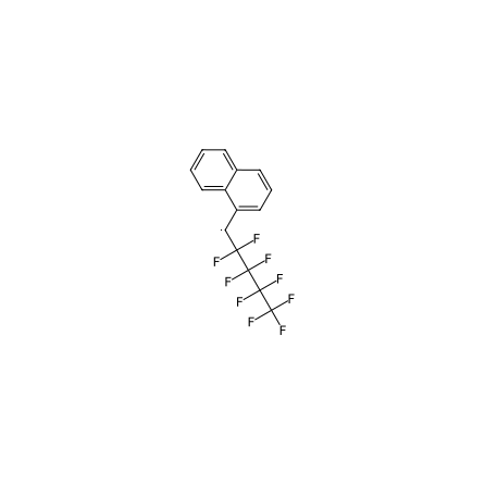 FC(F)(F)C(F)(F)C(F)(F)C(F)(F)[CH]c1cccc2ccccc12